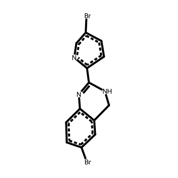 Brc1ccc(C2=Nc3ccc(Br)cc3CN2)nc1